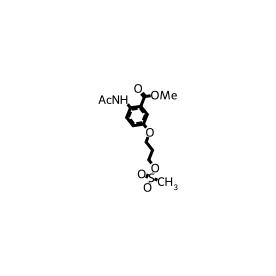 COC(=O)c1cc(OCCCOS(C)(=O)=O)ccc1NC(C)=O